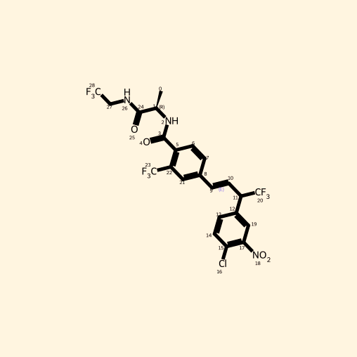 C[C@@H](NC(=O)c1ccc(/C=C/C(c2ccc(Cl)c([N+](=O)[O-])c2)C(F)(F)F)cc1C(F)(F)F)C(=O)NCC(F)(F)F